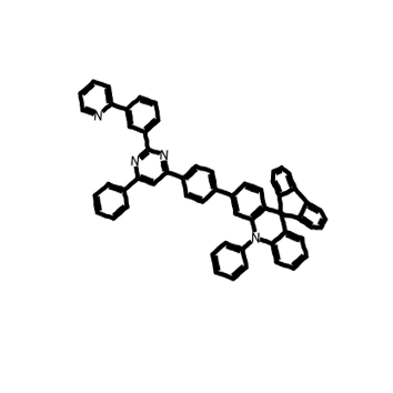 c1ccc(-c2cc(-c3ccc(-c4ccc5c(c4)N(c4ccccc4)c4ccccc4C54c5ccccc5-c5ccccc54)cc3)nc(-c3cccc(-c4ccccn4)c3)n2)cc1